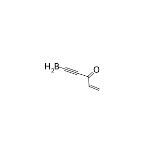 BC#CC(=O)C=C